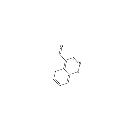 O=CC1=C2CC=CC=C2SN=C1